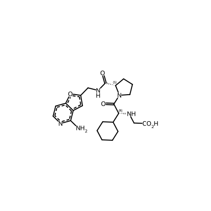 Nc1nccc2oc(CNC(=O)[C@@H]3CCCN3C(=O)[C@H](NCC(=O)O)C3CCCCC3)cc12